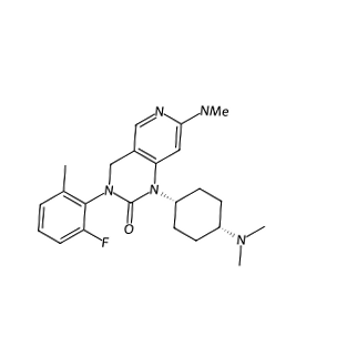 CNc1cc2c(cn1)CN(c1c(C)cccc1F)C(=O)N2[C@H]1CC[C@@H](N(C)C)CC1